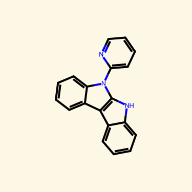 c1ccc(-n2c3ccccc3c3c4ccccc4[nH]c32)nc1